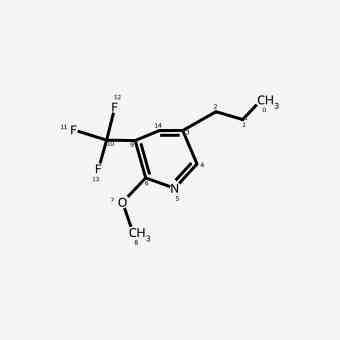 C[CH]Cc1cnc(OC)c(C(F)(F)F)c1